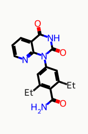 CCc1cc(-n2c(=O)[nH]c(=O)c3cccnc32)cc(CC)c1C(N)=O